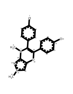 CN1C(c2ccc(Cl)cc2)=C(c2ccc(Cl)cc2)Oc2cn(C)nc21